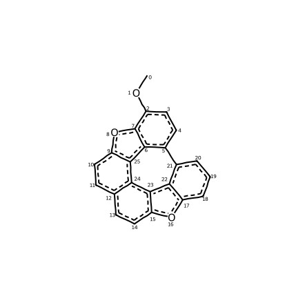 COc1ccc2c3c1oc1ccc4ccc5oc6cccc-2c6c5c4c13